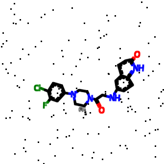 C[C@@H]1CN(c2ccc(Cl)c(F)c2)CCN1C(=O)CNc1ccc2[nH]c(=O)ccc2c1